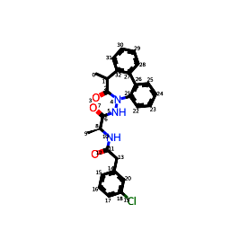 CC1C(=O)N(NC(=O)[C@H](C)NC(=O)Cc2cccc(Cl)c2)c2ccccc2-c2ccccc21